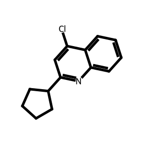 Clc1cc(C2CCCC2)nc2ccccc12